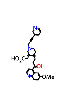 COc1ccc2nccc([C@H](O)CC[C@@H]3CCN(CC#Cc4cccnc4)C[C@@H]3CC(=O)O)c2c1